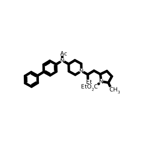 CCOC(=O)N1C(C)CCC1CC(CC)N1CCC(N(C(C)=O)c2ccc(-c3ccccc3)cc2)CC1